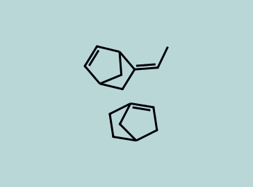 C/C=C1/CC2C=CC1C2.C1=C2CCC(C1)C2